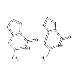 Cc1cn2cccc2c(=O)[nH]1.Cc1cn2cccc2c(=O)[nH]1